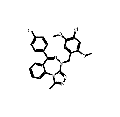 COc1cc(CN2N=C(c3ccc(Cl)cc3)c3ccccc3-n3c(C)nnc32)c(OC)cc1Cl